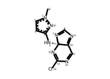 Cn1ccc(N[C@]23N=CN=C2C=NC(Cl)=N3)n1